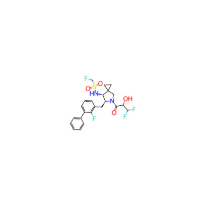 O=C(C(O)C(F)F)N1CC2(CC2)[C@H](NS(=O)(=O)CF)[C@@H]1Cc1cccc(-c2ccccc2)c1F